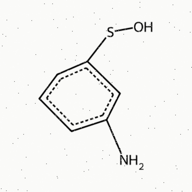 Nc1cccc(SO)c1